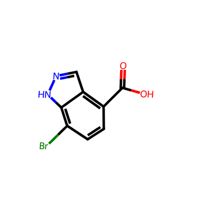 O=C(O)c1ccc(Br)c2[nH]ncc12